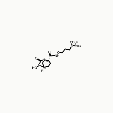 CC(C)(C)N(CCCONC(=O)[C@@H]1CC[C@@H]2CN1C(=O)N2O)C(=O)O